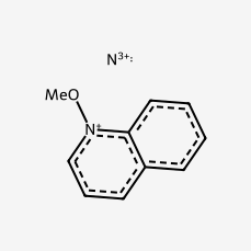 CO[n+]1cccc2ccccc21.[N+3]